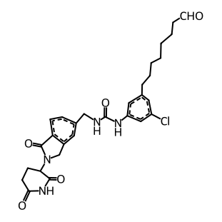 O=CCCCCCCCc1cc(Cl)cc(NC(=O)NCc2ccc3c(c2)CN(C2CCC(=O)NC2=O)C3=O)c1